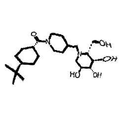 CC(C)(C)[C@H]1CC[C@H](C(=O)N2CCC(CN3C[C@H](O)[C@@H](O)[C@H](O)[C@H]3CO)CC2)CC1